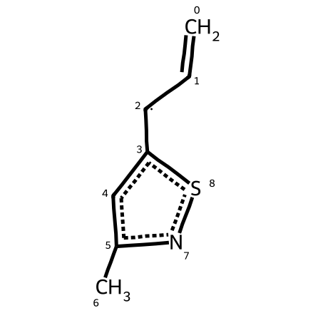 C=C[CH]c1cc(C)ns1